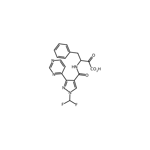 O=C(O)C(=O)C(Cc1ccccc1)NC(=O)c1cn(C(F)F)nc1-c1ccncn1